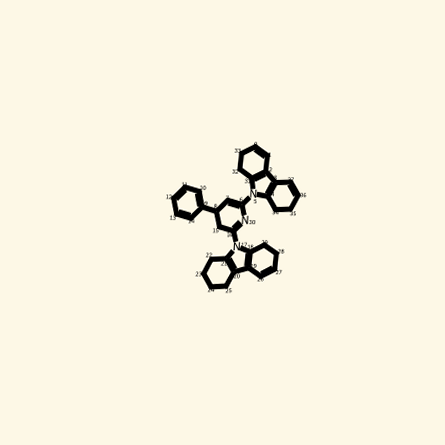 C1=Cc2c3c(n(C4=CC(c5ccccc5)CC(n5c6c(c7c5CCCC7)C=CCC6)=N4)c2CC1)CCC=C3